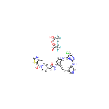 Cc1ncsc1C(=O)N1CCC(CC(=O)Nc2ccc3cc2CCc2cncc(c2)Nc2ncc(Cl)c(n2)N3)CC1.O=C(O)C(F)(F)F.O=C(O)C(F)(F)F